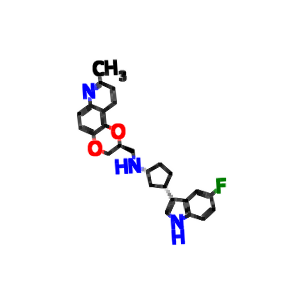 Cc1ccc2c3c(ccc2n1)OC[C@H](CN[C@@H]1CC[C@H](c2c[nH]c4ccc(F)cc24)C1)O3